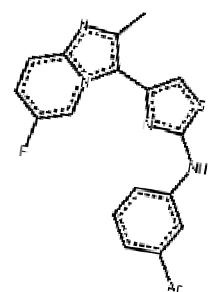 CC(=O)c1cccc(Nc2nc(-c3c(C)nc4ccc(F)cn34)cs2)c1